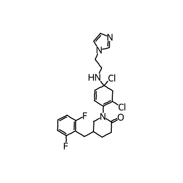 O=C1CCC(Cc2c(F)cccc2F)CN1C1=C(Cl)CC(Cl)(NCCn2ccnc2)C=C1